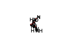 CN(C)C/C=C/C(=O)NC1CCN(C(=O)Cc2cccc(Nc3cc(-c4cnc5[nH]ccc5c4)ncn3)c2)CC1